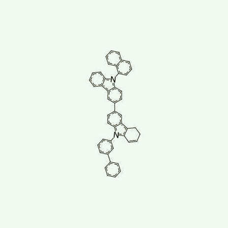 C1=Cc2c(c3cc(-c4ccc5c(c4)c4ccccc4n5-c4cccc5ccccc45)ccc3n2-c2cccc(-c3ccccc3)c2)CC1